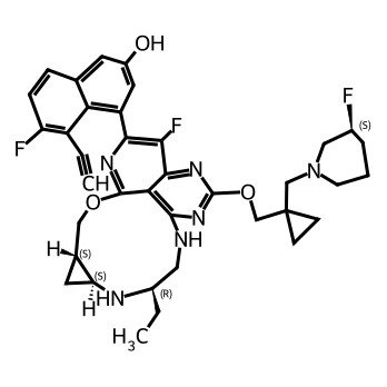 C#Cc1c(F)ccc2cc(O)cc(-c3nc4c5c(nc(OCC6(CN7CCC[C@H](F)C7)CC6)nc5c3F)NC[C@@H](CC)N[C@H]3C[C@@H]3CO4)c12